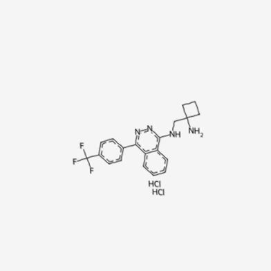 Cl.Cl.NC1(CNc2nnc(-c3ccc(C(F)(F)F)cc3)c3ccccc23)CCC1